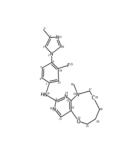 Cc1cn(-c2ccc(Nc3ncc4c(n3)N(C)CCCCCO4)cc2F)cn1